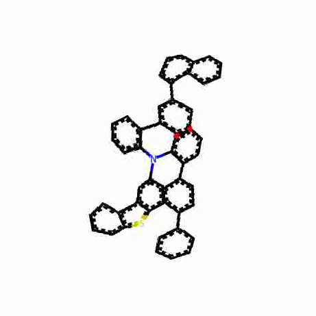 c1ccc(-c2ccc(-c3ccccc3N(c3ccc4sc5ccccc5c4c3)c3ccccc3-c3cccc(-c4cccc5ccccc45)c3)cc2)cc1